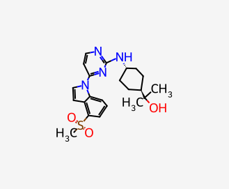 CC(C)(O)[C@H]1CC[C@H](Nc2nccc(-n3ccc4c(S(C)(=O)=O)cccc43)n2)CC1